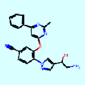 Cc1nc(Oc2cc(C#N)ccc2-n2cc(C(O)CN)cn2)cc(-c2ccccc2)n1